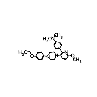 CCOc1ccc(N2CCN(c3ccc(OC)nc3-c3ccc(N(C)C)cc3)CC2)cc1